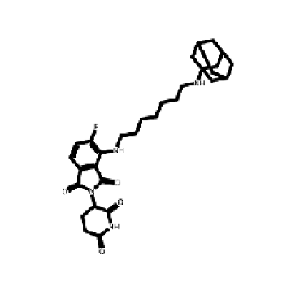 O=C1CCC(N2C(=O)c3ccc(F)c(NCCCCCCCNC45CC6CC(CC(C6)C4)C5)c3C2=O)C(=O)N1